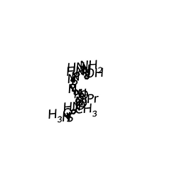 Cc1ncsc1-c1ccc([C@H](C)NC(=O)[C@@H]2CCCN2C(=O)C(c2cc(N3CCC(CN4CCC(c5cnc(N6CCC(Nc7cc(-c8ccccc8O)nnc7C(=N)N)CC6)s5)CC4)CC3)no2)C(C)C)cc1